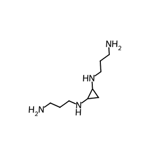 NCCCNC1CC1NCCCN